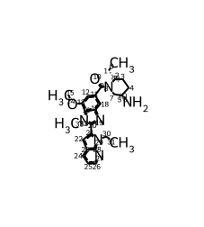 CC[C@@H]1CC[C@H](N)CN1C(=O)c1cc(OC)c2c(c1)nc(-c1cc3cccnc3n1CC)n2C